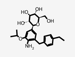 CCc1ccc(Cc2cc([C@@H]3O[C@H](CO)[C@@H](O)[C@H](O)[C@H]3O)cc(OC(C)C)c2N)cc1